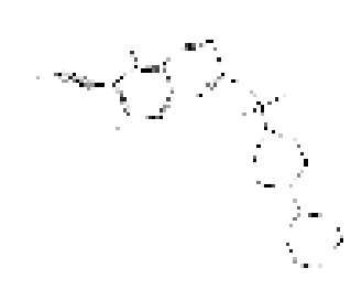 Fc1cc2cc(OC(F)(F)C3CCC(C4OCCCO4)CC3)ccc2c(F)c1C#CC(F)(F)F